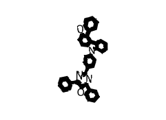 c1ccc(-c2nc(-c3ccc(-n4c5ccccc5c5c6c(ccc54)oc4ccccc46)cc3)nc3c2oc2ccccc23)cc1